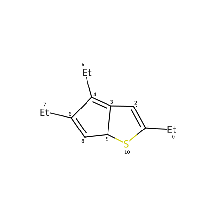 CCC1=[C]C2=C(CC)C(CC)=CC2S1